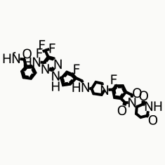 CNC(=O)c1ccccc1Nc1nc(Nc2ccc(CNC3CCN(c4cc5c(cc4F)C(=O)N(C4CCC(=O)NC4=O)C5=O)CC3)c(F)c2)ncc1C(F)(F)F